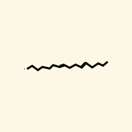 [CH2]CCCCCC=CCCC=CCCCC